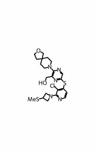 CSC1CN(c2nccc(Sc3cnc(N4CCC5(CCOC5)CC4)c(CO)n3)c2Cl)C1